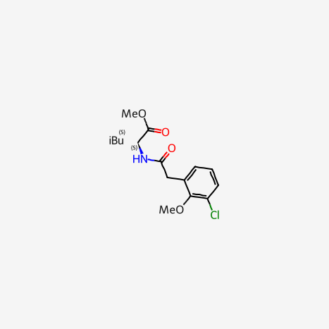 CC[C@H](C)[C@H](NC(=O)Cc1cccc(Cl)c1OC)C(=O)OC